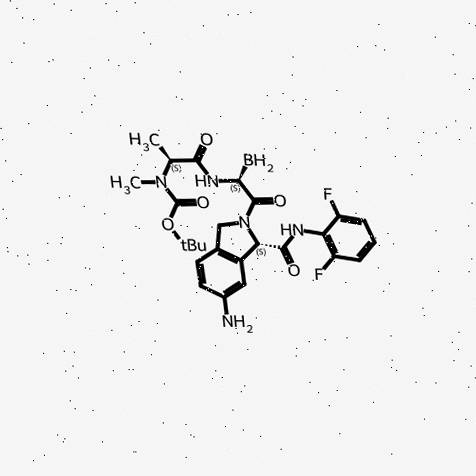 B[C@H](NC(=O)[C@H](C)N(C)C(=O)OC(C)(C)C)C(=O)N1Cc2ccc(N)cc2[C@H]1C(=O)Nc1c(F)cccc1F